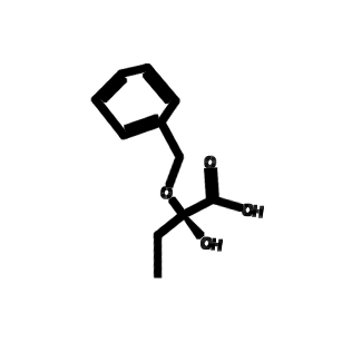 CC[C@](O)(OCc1ccccc1)C(=O)O